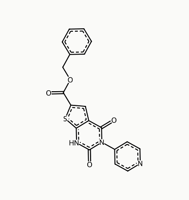 O=C(OCc1ccccc1)c1cc2c(=O)n(-c3ccncc3)c(=O)[nH]c2s1